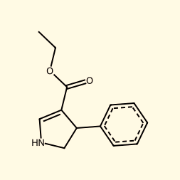 CCOC(=O)C1=CNCC1c1ccccc1